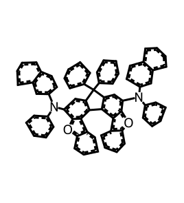 c1ccc(N(c2ccc3ccccc3c2)c2cc3c(c4c2oc2ccccc24)-c2c(cc(N(c4ccccc4)c4ccc5ccccc5c4)c4oc5ccccc5c24)C3(c2ccccc2)c2ccccc2)cc1